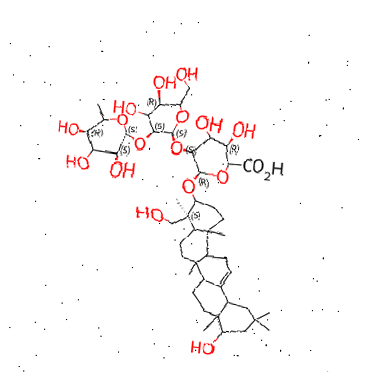 CC1O[C@@H](O[C@H]2C(O)[C@@H](O)C(CO)O[C@H]2O[C@H]2C(O)[C@@H](O)C(C(=O)O)O[C@H]2OC2CCC3(C)C4CC=C5C6CC(C)(C)CC(O)C6(C)CCC5C4(C)CCC3[C@@]2(C)CO)[C@@H](O)C(O)[C@H]1O